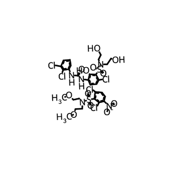 COCCN(CCOC)S(=O)(=O)c1c(Cl)ccc([N+](=O)[O-])c1Cl.O=C(Nc1ccc(Cl)c(S(=O)(=O)N(CCO)CCO)c1O)Nc1cccc(Cl)c1Cl